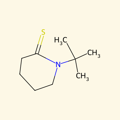 CC(C)(C)N1CCCCC1=S